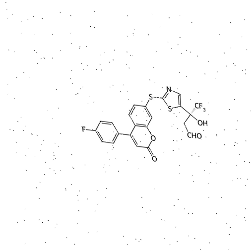 O=CC[C@](O)(c1cnc(Sc2ccc3c(-c4ccc(F)cc4)cc(=O)oc3c2)s1)C(F)(F)F